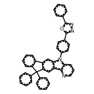 c1ccc(-c2nnc(-c3ccc(-n4c5cc6c(cc5c5ncccc54)C(c4ccccc4)(c4ccccc4)c4ccccc4-6)cc3)o2)cc1